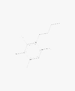 CCCCc1c(C)cc(C)c(C)c1[O]